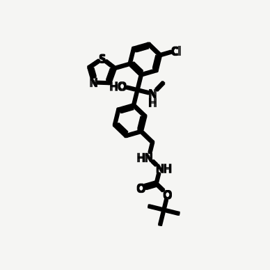 CNC(O)(c1cccc(CNNC(=O)OC(C)(C)C)c1)c1cc(Cl)ccc1-c1cncs1